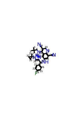 CC(C)(C)CNc1c(C#N)cnc2c(C#N)cc(N[C@@H](c3ccc(F)cc3)c3cn(C4(C)CC4)nn3)cc12